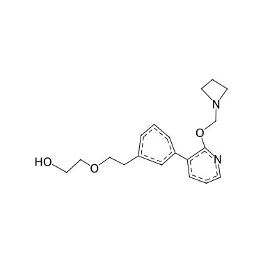 OCCOCCc1cccc(-c2cccnc2OCN2CCC2)c1